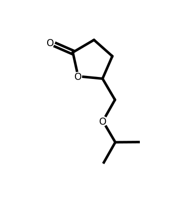 CC(C)OCC1CCC(=O)O1